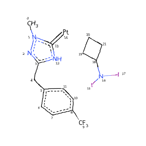 Cn1nc(Cc2ccc(C(F)(F)F)cc2)[nH][c]1=[Pt].IN(I)C1CCC1